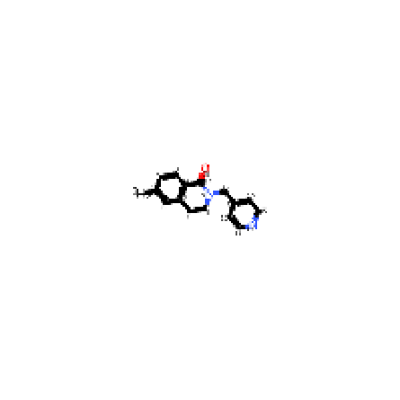 [2H]c1ccc2c(c1)CCN(Cc1ccncc1)C2=O